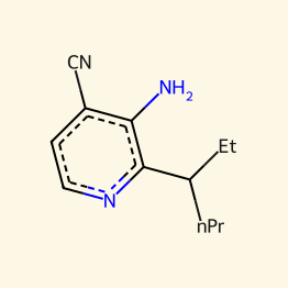 CCCC(CC)c1nccc(C#N)c1N